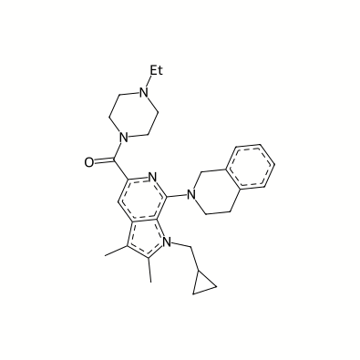 CCN1CCN(C(=O)c2cc3c(C)c(C)n(CC4CC4)c3c(N3CCc4ccccc4C3)n2)CC1